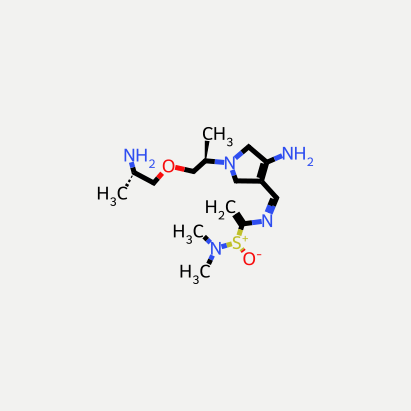 C=C(/N=C\C1=C(N)CN([C@H](C)COC[C@H](C)N)C1)[S+]([O-])N(C)C